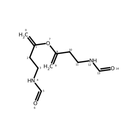 C=C(CCNC=O)OC(=C)CCNC=O